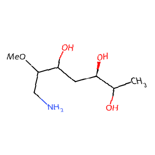 COC(CN)C(O)C[C@@H](O)C(C)O